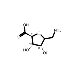 NCC1O[C@H](C(=O)O)[C@@H](O)[C@H]1O